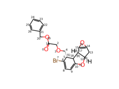 O=C(COC[C@H]1C(Br)=CC=C2O[C@@H]3CC4=C(O4)[C@@H]3C21)OCc1ccccc1